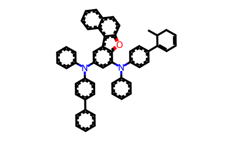 CC1CC=CC=C1c1ccc(N(c2ccccc2)c2cc(N(c3ccccc3)c3ccc(-c4ccccc4)cc3)cc3c2oc2ccc4ccccc4c23)cc1